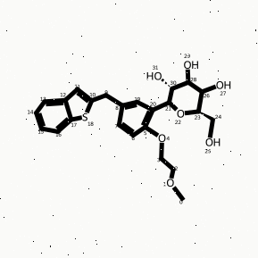 COCCOc1ccc(Cc2cc3ccccc3s2)cc1C1O[C@H](CO)C(O)C(O)[C@H]1O